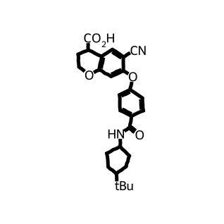 CC(C)(C)C1CCC(NC(=O)c2ccc(Oc3cc4c(cc3C#N)C(C(=O)O)CCO4)cc2)CC1